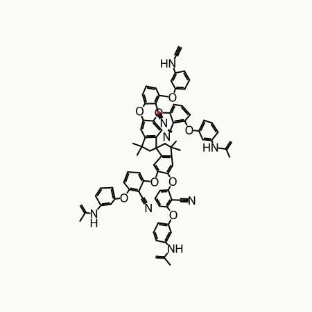 C#CNc1cccc(Oc2cccc(Oc3cc4c(cc3Oc3cccc(Oc5cccc(NC(=C)C)c5)c3C#N)C3(CC4(C)C)CC(C)(C)c4cc(Oc5cccc(Oc6cccc(NC(=C)C)c6)c5C#N)c(Oc5cccc(Oc6cccc(NC(=C)C)c6)c5C#N)cc43)c2C#N)c1